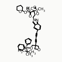 CC(C)(C)[Si](OCC1(C#CC#Cc2ccc3nn(CC[C@](C)(C(=O)NOC4CCCCO4)S(C)(=O)=O)cc3c2)COC1)(c1ccccc1)c1ccccc1